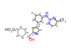 Cc1cc(Nc2nccc(C(F)(F)F)n2)cc(-c2cnc(C(O)[C@H]3CC[C@@H](C(=O)O)CC3)s2)c1